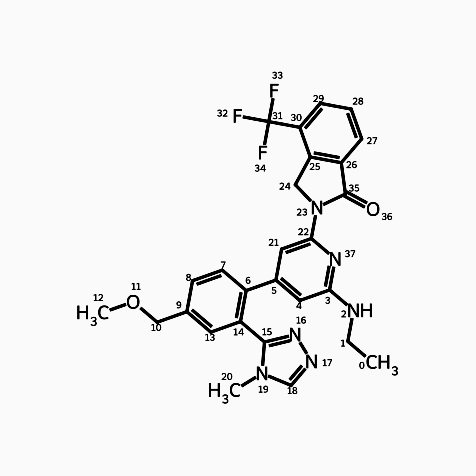 CCNc1cc(-c2ccc(COC)cc2-c2nncn2C)cc(N2Cc3c(cccc3C(F)(F)F)C2=O)n1